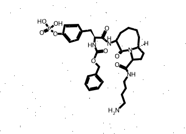 NCCCCNC(=O)C1CC[C@@H]2CCCCC(NC(=O)[C@H](Cc3ccc(OP(=O)(O)O)cc3)NC(=O)OCc3ccccc3)C(=O)N12